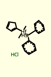 Cl.[CH3][Hf]([CH3])([C]1=CC=CC1)[SiH](c1ccccc1)c1ccccc1